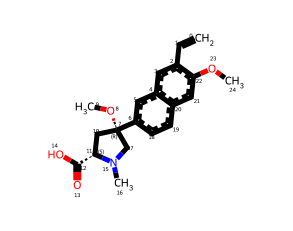 C=Cc1cc2cc([C@]3(OC)C[C@@H](C(=O)O)N(C)C3)ccc2cc1OC